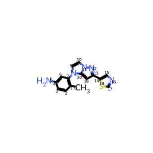 Cc1ccc(N)cc1-n1ccn2nc(-c3cncs3)cc12